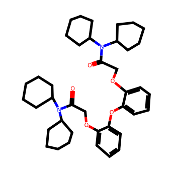 O=C(COc1ccccc1Oc1ccccc1OCC(=O)N(C1CCCCC1)C1CCCCC1)N(C1CCCCC1)C1CCCCC1